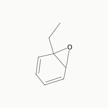 CCC12C=CC=CC1O2